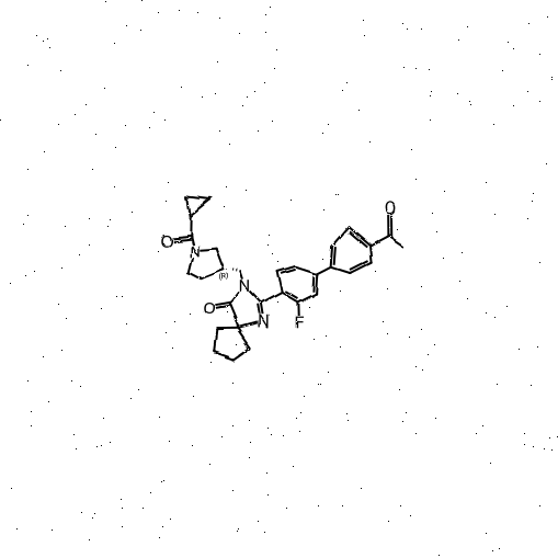 CC(=O)c1ccc(-c2ccc(C3=NC4(CCCC4)C(=O)N3C[C@@H]3CCN(C(=O)C4CC4)C3)c(F)c2)cc1